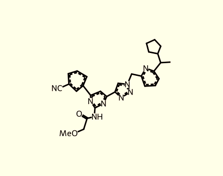 COCC(=O)Nc1nc(-c2cccc(C#N)c2)cc(-c2cn(Cc3cccc(C(C)C4CCCC4)n3)nn2)n1